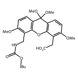 COc1ccc2c(c1CNC(=O)OC(C)(C)C)Oc1c(ccc(OC)c1CC(=O)O)C2(OC)OC